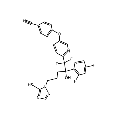 N#Cc1ccc(Oc2ccc(C(F)(F)C(O)(CCCn3ncnc3S)c3ccc(F)cc3F)nc2)cc1